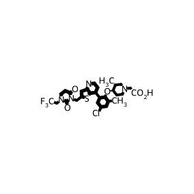 Cc1cc(Cl)cc(-c2ccnc3cc(Cn4c(=O)ccn(CC(F)(F)F)c4=O)sc23)c1O[C@@H]1CCN(CC(=O)O)C[C@@H]1C